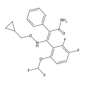 NC(=O)C(=C(NOCC1CC1)c1c(OC(F)F)ccc(F)c1F)c1ccccc1